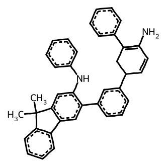 CC1(C)c2ccccc2-c2cc(-c3cccc(C4C=CC(N)=C(c5ccccc5)C4)c3)c(Nc3ccccc3)cc21